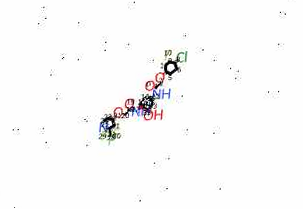 O=C(COc1ccc(Cl)c(F)c1)NC12CCC(NC(=O)COc3ccnc(C(F)(F)F)c3)(CC1)C(O)C2